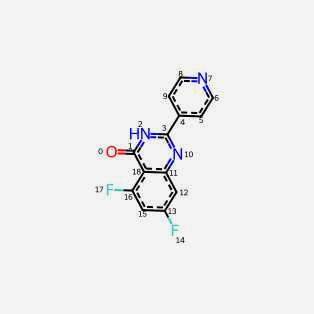 O=c1[nH]c(-c2ccncc2)nc2cc(F)cc(F)c12